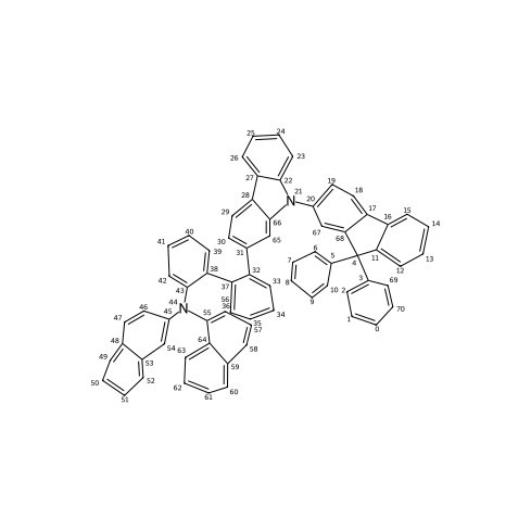 c1ccc(C2(c3ccccc3)c3ccccc3-c3ccc(-n4c5ccccc5c5ccc(-c6ccccc6-c6ccccc6N(c6ccc7ccccc7c6)c6cccc7ccccc67)cc54)cc32)cc1